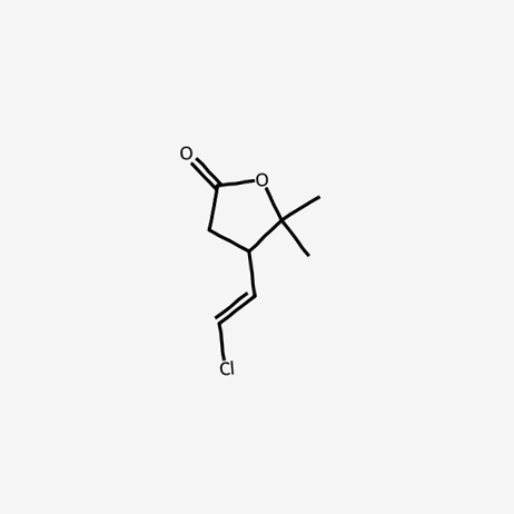 CC1(C)OC(=O)CC1C=CCl